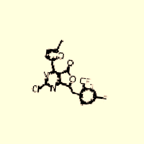 Cc1ccc(-c2nc(Cl)nc3c2C(=O)OC3Cc2ccc(F)cc2C(F)(F)F)o1